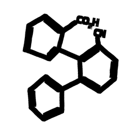 N#Cc1cccc(-c2ccccc2)c1-c1ccccc1C(=O)O